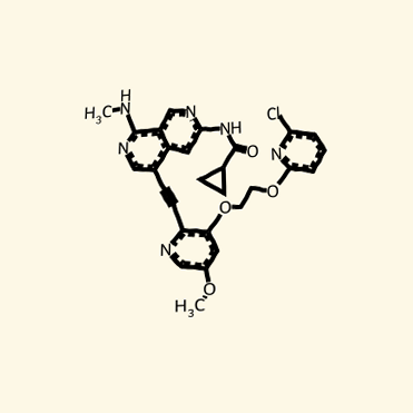 CNc1ncc(C#Cc2ncc(OC)cc2OCCOc2cccc(Cl)n2)c2cc(NC(=O)C3CC3)ncc12